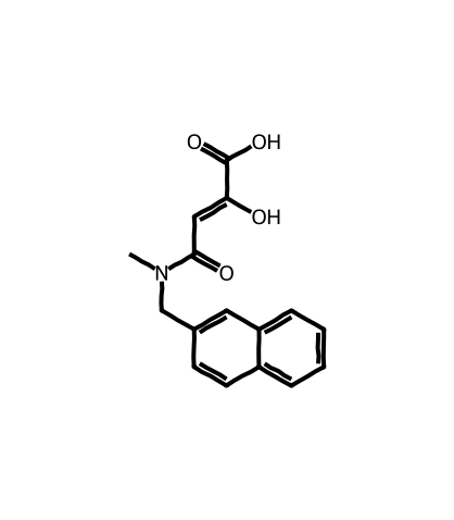 CN(Cc1ccc2ccccc2c1)C(=O)/C=C(\O)C(=O)O